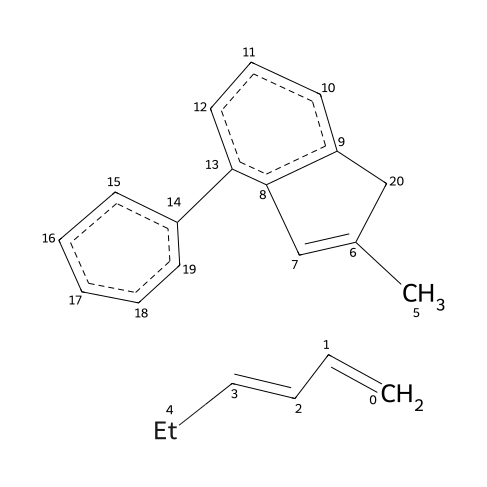 C=CC=CCC.CC1=Cc2c(cccc2-c2ccccc2)C1